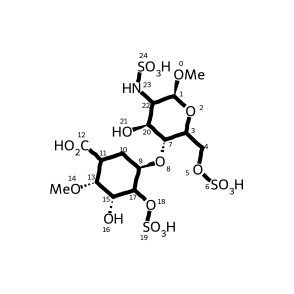 CO[C@H]1OC(COS(=O)(=O)O)[C@H](O[C@@H]2CC(C(=O)O)[C@@H](OC)[C@@H](O)C2OS(=O)(=O)O)[C@@H](O)C1NS(=O)(=O)O